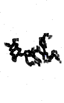 CC(C)(O/N=C(\C(=O)NC1C(=O)N2C(OC(=O)O)=C(CN3CC4=CC(O)=C(O)CC4CC3=O)CS[C@@H]12)c1csc(N)n1)C(=O)O